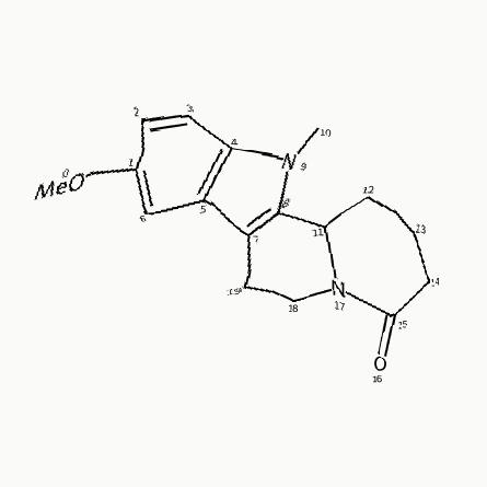 COc1ccc2c(c1)c1c(n2C)C2CCCC(=O)N2CC1